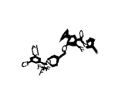 Cc1ccn(C(=O)c2cc(C3CC3)c(OCC3CCN([C@@H](c4cc(Cl)cc(Cl)c4)C(F)(F)F)CC3)cc2F)c1